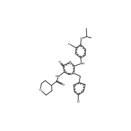 CC(C)Oc1ccc(Nc2nc(=O)c(NC(=O)C3CCOCC3)cn2Cc2ccc(Cl)cc2)cc1F